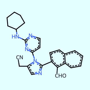 N#CCc1cnc(-c2ccc3ccccc3c2C=O)n1-c1ccnc(NC2CCCCC2)n1